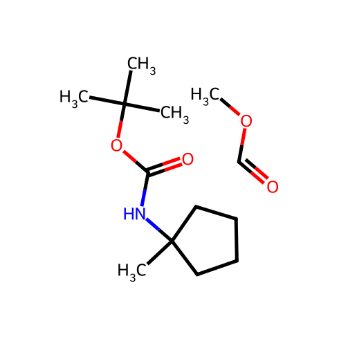 CC1(NC(=O)OC(C)(C)C)CCCC1.COC=O